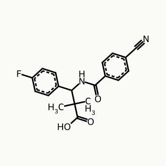 CC(C)(C(=O)O)C(NC(=O)c1ccc(C#N)cc1)c1ccc(F)cc1